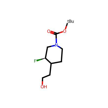 CC(C)(C)OC(=O)N1CCC(CCO)[C@@H](F)C1